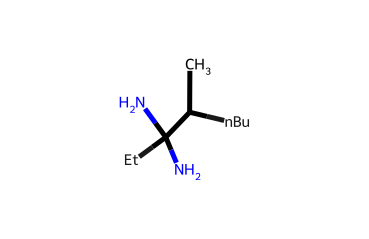 CCCCC(C)C(N)(N)CC